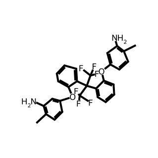 Cc1ccc(Oc2ccccc2C(c2ccccc2Oc2ccc(C)c(N)c2)(C(F)(F)F)C(F)(F)F)cc1N